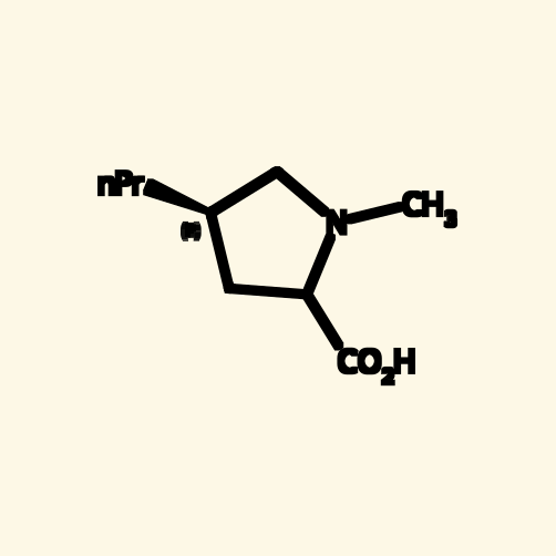 CCC[C@@H]1CC(C(=O)O)N(C)C1